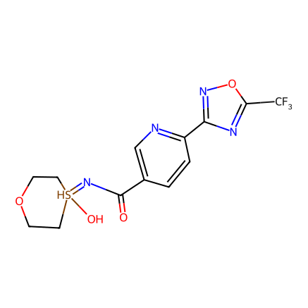 O=C(N=[SH]1(O)CCOCC1)c1ccc(-c2noc(C(F)(F)F)n2)nc1